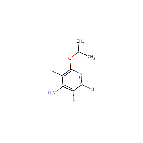 CC(C)Oc1nc(Cl)c(F)c(N)c1I